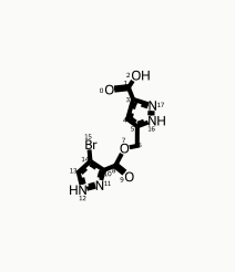 O=C(O)c1cc(COC(=O)c2n[nH]cc2Br)[nH]n1